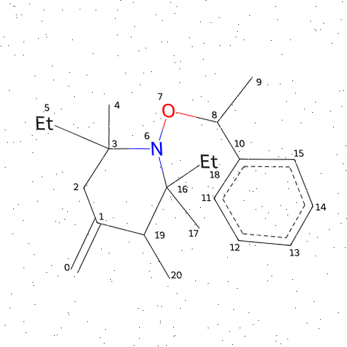 C=C1CC(C)(CC)N(OC(C)c2ccccc2)C(C)(CC)C1C